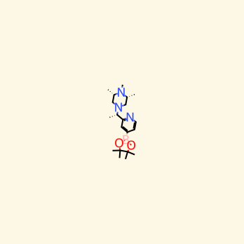 C[C@@H]1CN([C@@H](C)c2cc(B3OC(C)(C)C(C)(C)O3)ccn2)C[C@H](C)N1C